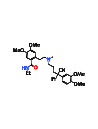 CCNC(=O)c1cc(OC)c(OC)cc1CCN(C)CCCC(C#N)(c1ccc(OC)c(OC)c1)C(C)C